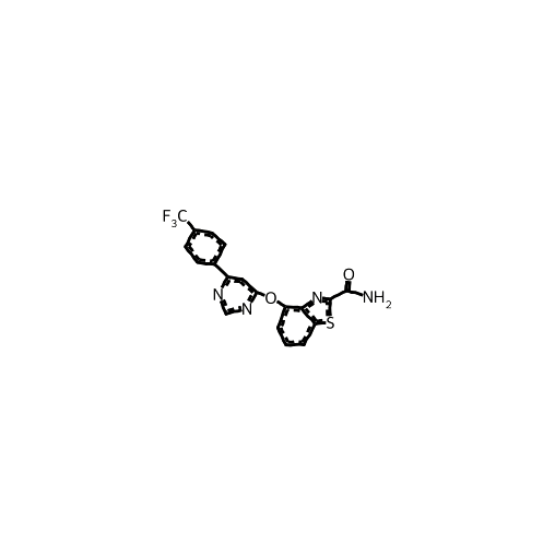 NC(=O)c1nc2c(Oc3cc(-c4ccc(C(F)(F)F)cc4)ncn3)cccc2s1